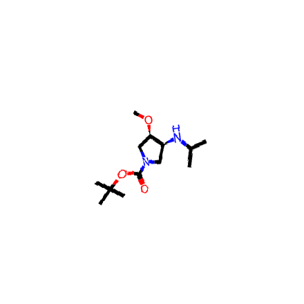 CO[C@@H]1CN(C(=O)OC(C)(C)C)C[C@@H]1NC(C)C